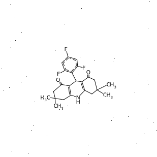 CC1(C)CC(=O)C2=C(C1)NC1=C(C(=O)CC(C)(C)C1)C2c1c(F)cc(F)cc1F